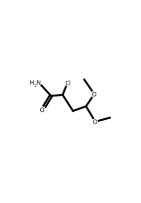 COC(CC(Cl)C(N)=O)OC